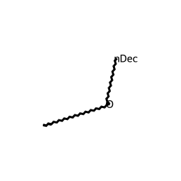 C=CC=CCCCCCCCCCCCCCCCCCCCCC1OC1CCCCCCCCCCCCCCCCCCCCCCCCC